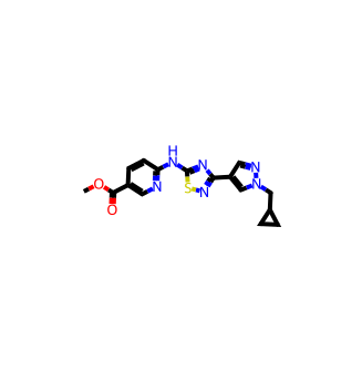 COC(=O)c1ccc(Nc2nc(-c3cnn(CC4CC4)c3)ns2)nc1